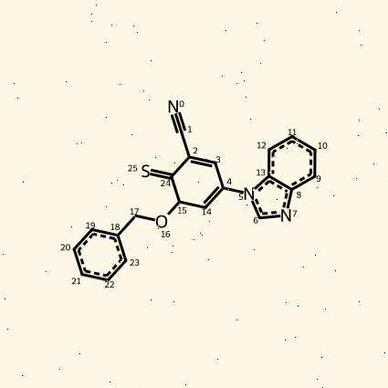 N#CC1=CC(n2cnc3ccccc32)=CC(OCc2ccccc2)C1=S